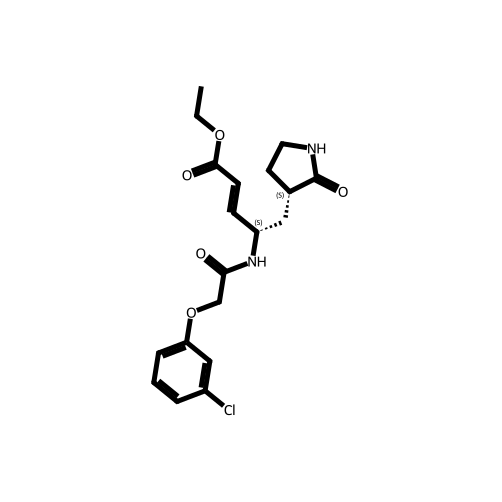 CCOC(=O)C=C[C@H](C[C@@H]1CCNC1=O)NC(=O)COc1cccc(Cl)c1